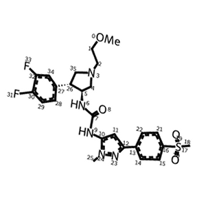 COCCN1C[C@@H](NC(=O)Nc2cc(-c3ccc(S(C)(=O)=O)cc3)nn2C)[C@H](c2ccc(F)c(F)c2)C1